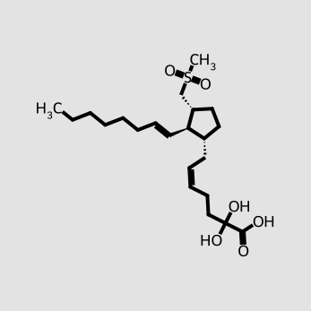 CCCCCC/C=C/[C@@H]1[C@@H](C/C=C\CCC(O)(O)C(=O)O)CC[C@H]1CS(C)(=O)=O